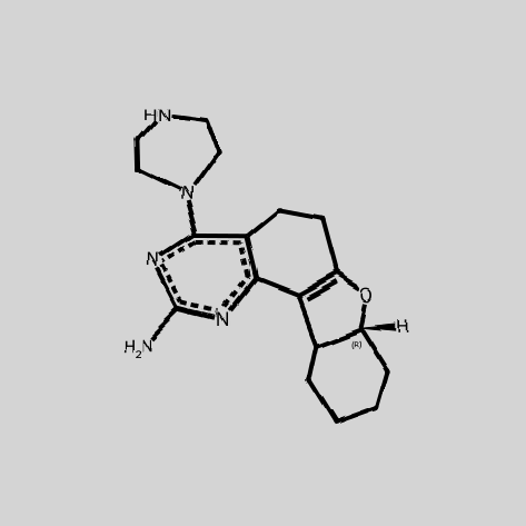 Nc1nc2c(c(N3CCNCC3)n1)CCC1=C2C2CCCC[C@H]2O1